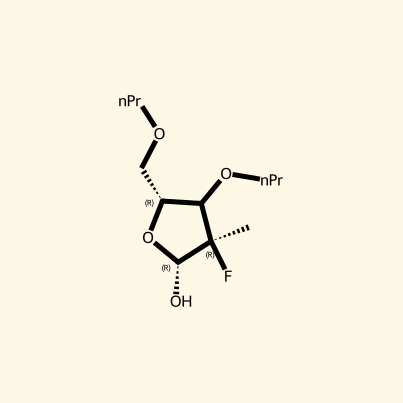 CCCOC[C@H]1O[C@@H](O)[C@](C)(F)C1OCCC